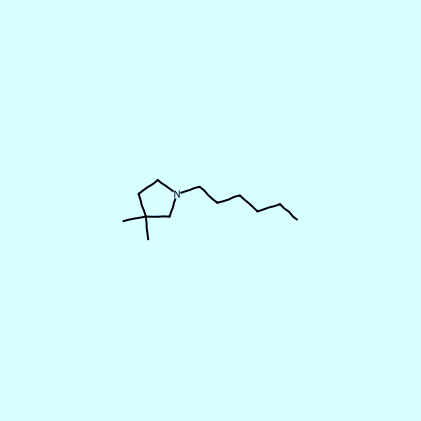 CCCCCCN1CCC(C)(C)C1